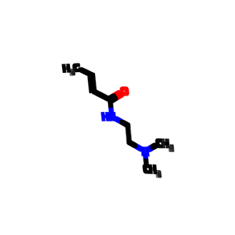 CC=CC(=O)NCCN(C)C